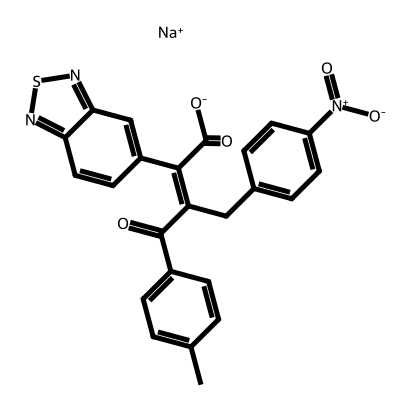 Cc1ccc(C(=O)C(Cc2ccc([N+](=O)[O-])cc2)=C(C(=O)[O-])c2ccc3nsnc3c2)cc1.[Na+]